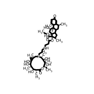 CCOC(=O)[C@@]1(OC(=O)CCNCCCN2C[C@]3(C)C[C@@]3(O)[C@H](O)[C@@H](C)[C@H](O)[C@@H](C)C(=O)O[C@H](CC)[C@@](C)(O)[C@H](O)[C@H]2C)[C@H](C)CC2C3C[C@H](C)C4=CC(=O)C=C[C@]4(C)[C@@]3(F)[C@@H](O)C[C@@]21C